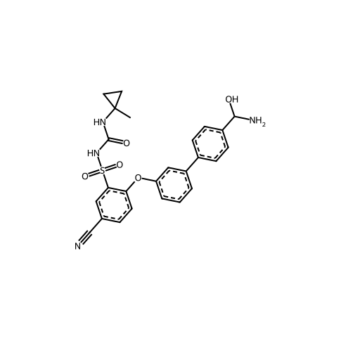 CC1(NC(=O)NS(=O)(=O)c2cc(C#N)ccc2Oc2cccc(-c3ccc(C(N)O)cc3)c2)CC1